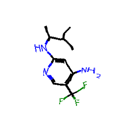 CC(C)C(C)Nc1cc(N)c(C(F)(F)F)cn1